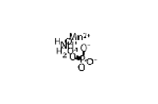 O.O.O=P([O-])([O-])[O-].[Mn+2].[NH4+]